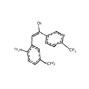 Cc1ccc([N+](=O)[O-])c(C=C(C#N)c2ccc(C)nc2)c1